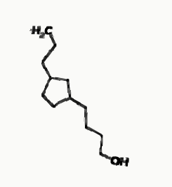 [CH2]CCC1CCC(CCCCO)C1